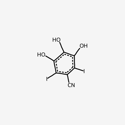 N#Cc1c(I)c(O)c(O)c(O)c1I